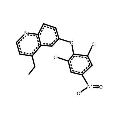 CCc1ccnc2ccc(Oc3c(Cl)cc([N+](=O)[O-])cc3Cl)cc12